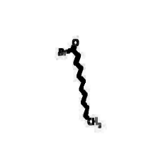 CCCCCCCCCCCC(=O)Br